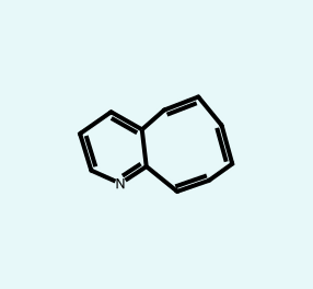 C1=C\C=C/c2ncccc2\C=C/1